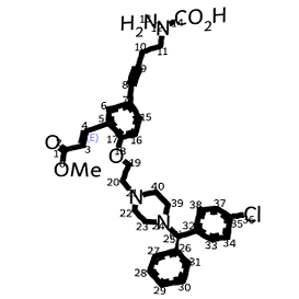 COC(=O)/C=C/c1cc(C#CCCN(N)C(=O)O)ccc1OCCN1CCN([C@H](c2ccccc2)c2ccc(Cl)cc2)CC1